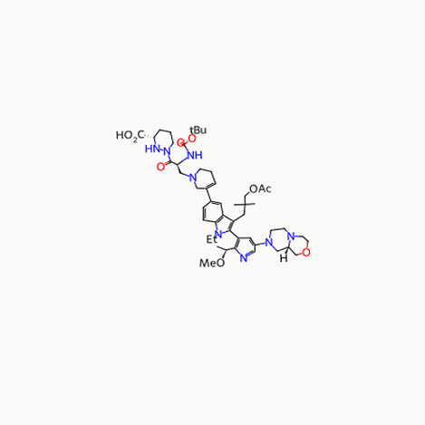 CCn1c(-c2cc(N3CCN4CCOC[C@@H]4C3)cnc2[C@H](C)OC)c(CC(C)(C)COC(C)=O)c2cc(C3=CCCN(C[C@H](NC(=O)OC(C)(C)C)C(=O)N4CCC[C@@H](C(=O)O)N4)C3)ccc21